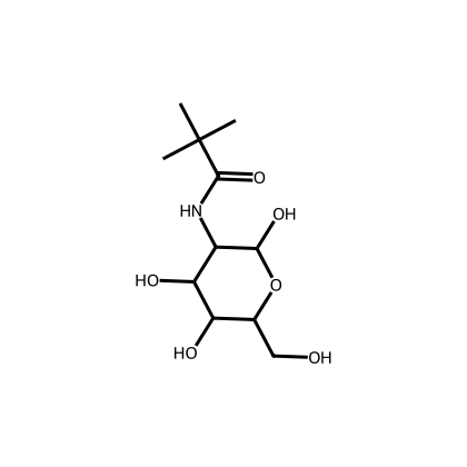 CC(C)(C)C(=O)NC1C(O)OC(CO)C(O)C1O